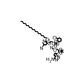 CCCCCCCCCCCCCCCCCCOC[C@H](COP(=O)(OC[C@@H](OC#N)[C@H]1OC(C)(C)O[C@H]1c1ccc2c(N)ncnn12)Oc1ccccc1Cl)Oc1cncc(C#N)c1